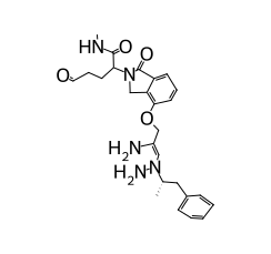 CNC(=O)C(CCC=O)N1Cc2c(OC/C(N)=C/N(N)[C@@H](C)Cc3ccccc3)cccc2C1=O